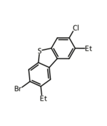 CCc1cc2c(cc1Cl)sc1cc(Br)c(CC)cc12